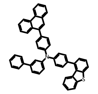 c1ccc(-c2cccc(N(c3ccc(-c4cc5ccccc5c5ccccc45)cc3)c3ccc(-c4cccc5sc6ccccc6c45)cc3)c2)cc1